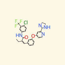 CCC(=Cc1cccc(Oc2ccnc(C3=NCCN3)c2)c1)C(=O)Nc1ccc(Cl)c(C(F)(F)F)c1